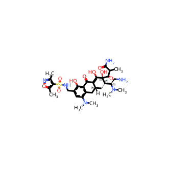 Cc1noc(C)c1S(=O)(=O)NCc1cc(N(C)C)c2c(c1O)C(=O)C1=C(O)[C@](O)(C(=O)C(C)C(N)=O)[C@H]([C@@H](CN)N(C)C)C[C@@H]1C2